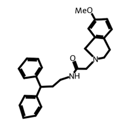 COc1ccc2c(c1)CN(CC(=O)NCCC(c1ccccc1)c1ccccc1)CC2